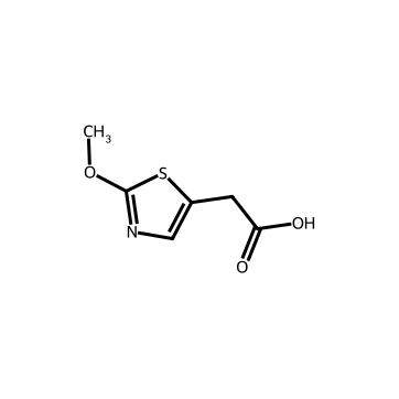 COc1ncc(CC(=O)O)s1